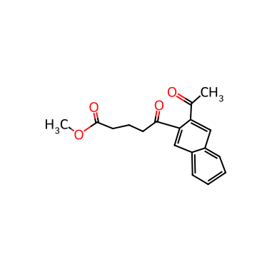 COC(=O)CCCC(=O)c1cc2ccccc2cc1C(C)=O